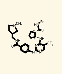 CC(C)NC(=O)[C@H]1CCC[C@H]1Nc1nc(Nc2ccc(C(=O)NCC3CCN(C)C3)cc2)ncc1C(F)(F)F